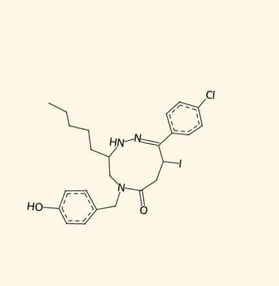 CCCCCC1CN(Cc2ccc(O)cc2)C(=O)CC(I)/C(c2ccc(Cl)cc2)=N\N1